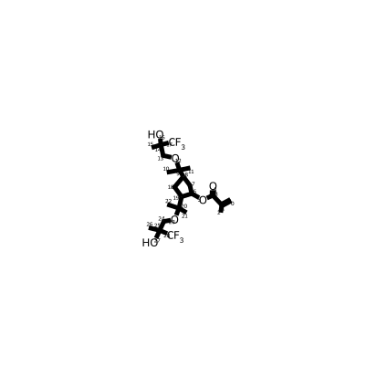 C=C(C)C(=O)OC1CC(C(C)(C)OCC(C)(O)C(F)(F)F)CC1C(C)(C)OCC(C)(O)C(F)(F)F